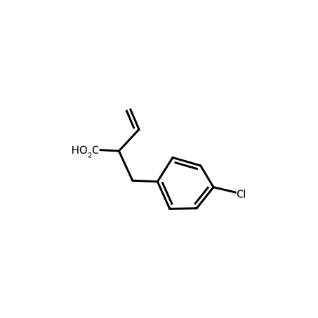 C=CC(Cc1ccc(Cl)cc1)C(=O)O